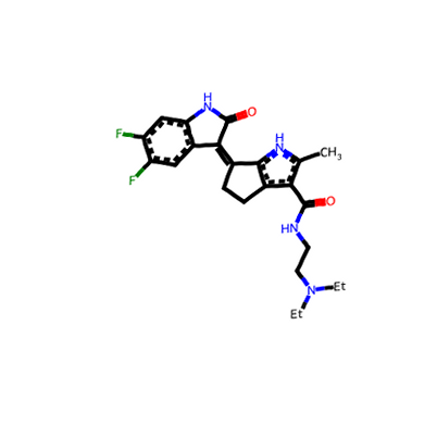 CCN(CC)CCNC(=O)c1c(C)[nH]c2c1CC/C2=C1/C(=O)Nc2cc(F)c(F)cc21